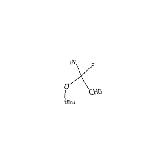 CC(C)C(F)(C=O)OC(C)(C)C